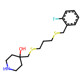 OC1(CSCCCSCc2ccccc2F)CCNCC1